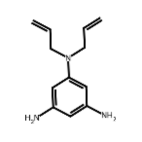 C=CCN(CC=C)c1cc(N)cc(N)c1